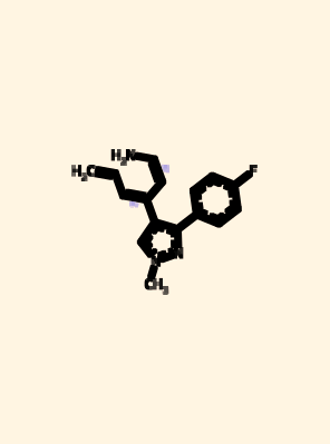 C=C/C=C(\C=C/N)c1cn(C)nc1-c1ccc(F)cc1